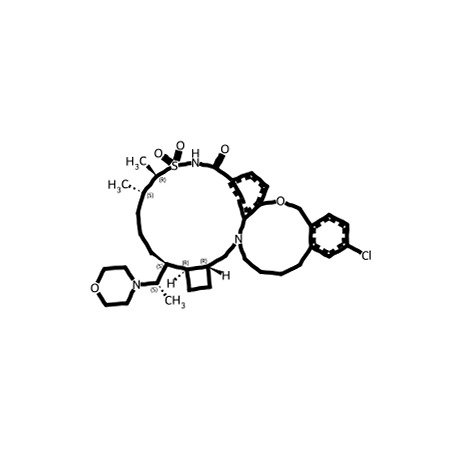 C[C@@H]1[C@@H](C)CCC[C@H]([C@H](C)N2CCOCC2)[C@@H]2CC[C@H]2CN2CCCCc3cc(Cl)ccc3COc3ccc(cc32)C(=O)NS1(=O)=O